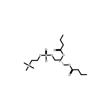 CCCC(=O)OC[C@H](COP(=O)([O-])OCC[N+](C)(C)C)OC(=O)CCC